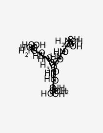 CC(COCCC(=O)NCCCNC(=O)CCCCOC1OC(CO)C(O)C(O)C1N)(COCCC(=O)NCCCNC(=O)CCCCOC1OC(CO)C(O)C(O)C1N)COCCC(=O)NCCCNC(=O)CCCCOC1OC(CO)C(O)C(O)[C@@H]1N